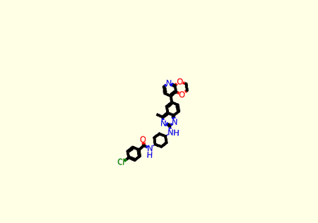 Cc1nc(N[C@H]2CC[C@@H](NC(=O)c3ccc(Cl)cc3)CC2)nc2ccc(-c3ccnc4c3OCCO4)cc12